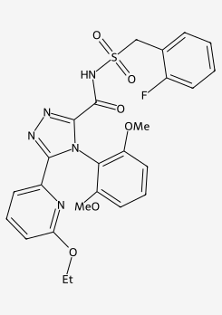 CCOc1cccc(-c2nnc(C(=O)NS(=O)(=O)Cc3ccccc3F)n2-c2c(OC)cccc2OC)n1